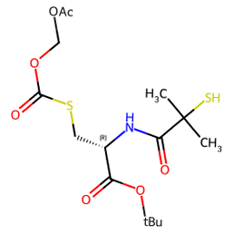 CC(=O)OCOC(=O)SC[C@H](NC(=O)C(C)(C)S)C(=O)OC(C)(C)C